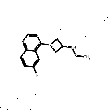 CSNC1CN(c2ncnc3ccc(F)cc23)C1